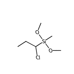 CCC(Cl)[Si](C)(OC)OC